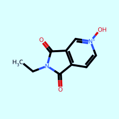 CCN1C(=O)c2cc[n+](O)cc2C1=O